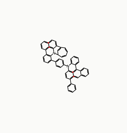 C1=CC2=CC(C=C1)N(c1c(-c3ccccc3)cccc1-c1ccc(N(c3ccc(-c4ccccc4)cc3)c3ccccc3-c3cccc4ccccc34)cc1)c1ccccc12